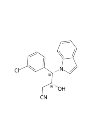 N#CC[C@@H](O)[C@H](c1cccc(Cl)c1)n1ccc2ccccc21